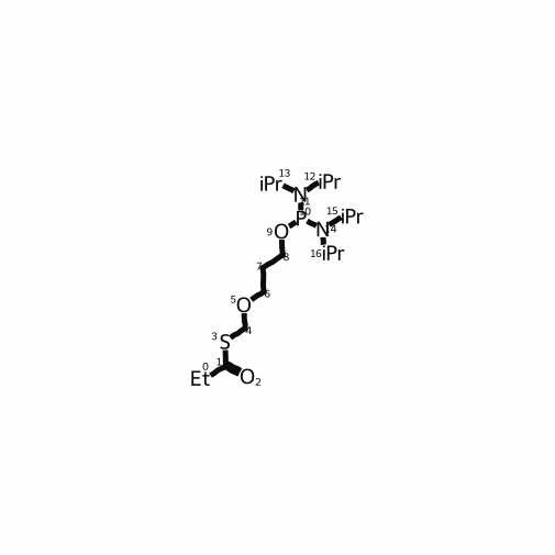 CCC(=O)SCOCCCOP(N(C(C)C)C(C)C)N(C(C)C)C(C)C